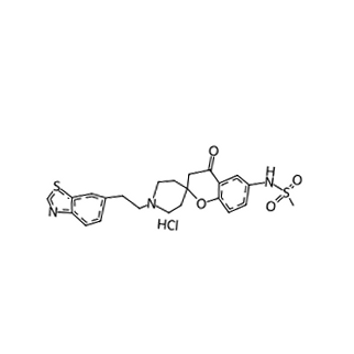 CS(=O)(=O)Nc1ccc2c(c1)C(=O)CC1(CCN(CCc3ccc4ncsc4c3)CC1)O2.Cl